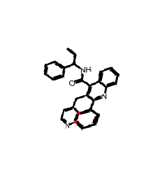 CCC(NC(=O)c1c(Cc2ccncc2)c(-c2ccccc2)nc2ccccc12)c1ccccc1